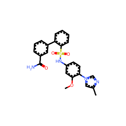 COc1cc(NS(=O)(=O)c2ccccc2-c2cccc(C(N)=O)c2)ccc1-n1cnc(C)c1